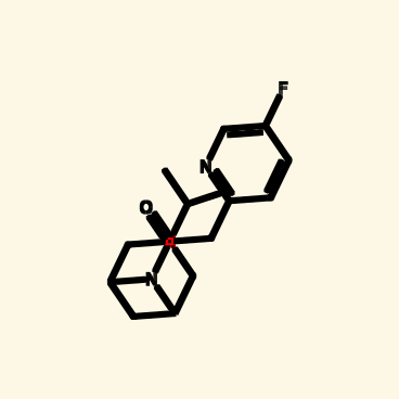 CC(C)N1CC2CC(C1)N2C(=O)Cc1ccc(F)cn1